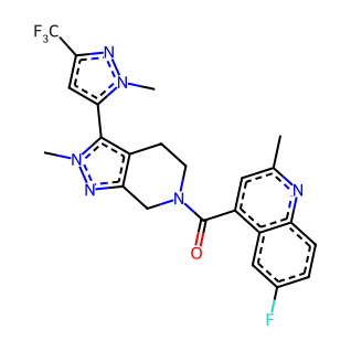 Cc1cc(C(=O)N2CCc3c(nn(C)c3-c3cc(C(F)(F)F)nn3C)C2)c2cc(F)ccc2n1